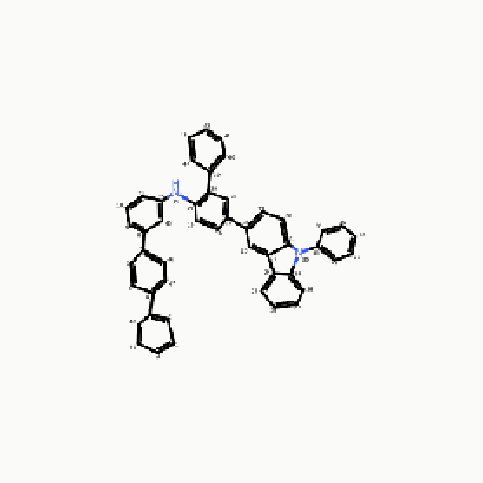 c1ccc(-c2ccc(-c3cccc(Nc4ccc(-c5ccc6c(c5)c5ccccc5n6-c5ccccc5)cc4-c4ccccc4)c3)cc2)cc1